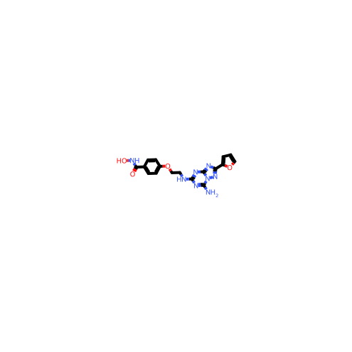 Nc1nc(NCCOc2ccc(C(=O)NO)cc2)nc2nc(-c3ccco3)nn12